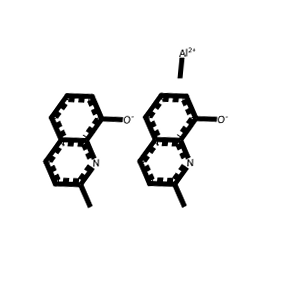 Cc1ccc2cccc([O-])c2n1.Cc1ccc2cccc([O-])c2n1.[CH3][Al+2]